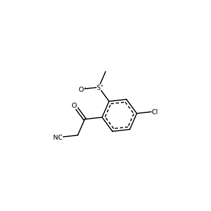 C[S+]([O-])c1cc(Cl)ccc1C(=O)CC#N